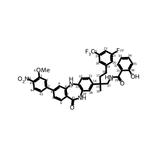 COc1cc(-c2ccc3c(c2)Nc2ccc(C(C)(CCc4cc(F)cc(C(F)(F)F)c4)CNC(=O)c4ccccc4O)cc2NC3=O)ccc1[N+](=O)[O-]